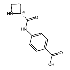 O=C(O)c1ccc(NC(=O)[C@H]2CCN2)cc1